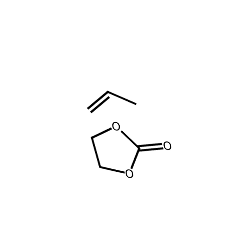 C=CC.O=C1OCCO1